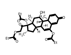 CCC(=O)OCC(=O)[C@]1(OC(=O)CC)[C@@H](C)C[C@H]2[C@@H]3C=C(OC(=O)CC)C4=CC(=O)C=C[C@]4(C)[C@@]3(F)[C@@H](O)C[C@@]21C